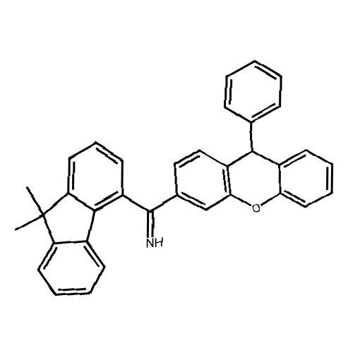 CC1(C)c2ccccc2-c2c(C(=N)c3ccc4c(c3)Oc3ccccc3C4c3ccccc3)cccc21